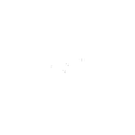 FCn1ccc(S)n1